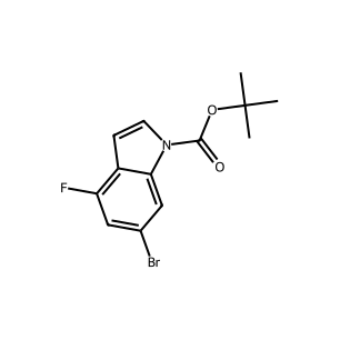 CC(C)(C)OC(=O)n1ccc2c(F)cc(Br)cc21